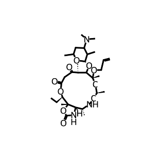 C=CCO[C@]1(C)C[C@@H](C)CN[C@H](C)[C@H]2NC(=O)O[C@]2(C)[C@@H](CC)OC(=O)CC(=O)[C@H](C)C1O[C@@H]1OC(C)CC(N(C)C)C1C